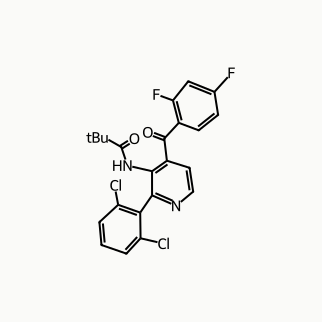 CC(C)(C)C(=O)Nc1c(C(=O)c2ccc(F)cc2F)ccnc1-c1c(Cl)cccc1Cl